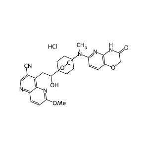 COc1ccc2ncc(C#N)c(CC(O)C34CCC(N(C)c5ccc6c(n5)NC(=O)CO6)(CC3)CO4)c2n1.Cl